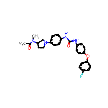 CC(=O)N(C)C1CCN(c2ccc(NC(=O)Nc3ccc(Oc4ccc(F)cc4)cc3)cc2)C1